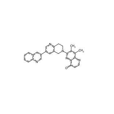 Cc1c(N2CCc3ncc(-c4cnc5ccccc5c4)cc3C2)nn2c(=O)ccnc2c1C